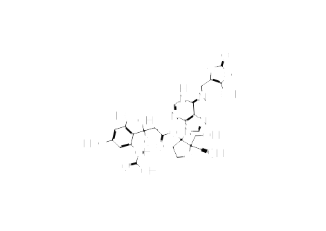 C#CC1(CO)OCCC1(OC(=O)CC(C)(C)c1c(C)cc(C)cc1OC(C)=O)n1cnc2c(=NCc3oc(=O)oc3C)[nH]cnc21